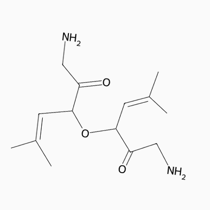 CC(C)=CC(OC(C=C(C)C)C(=O)CN)C(=O)CN